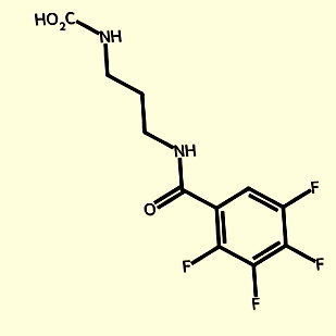 O=C(O)NCCCNC(=O)c1cc(F)c(F)c(F)c1F